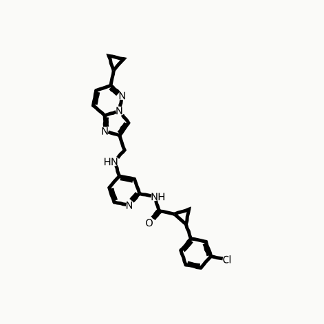 O=C(Nc1cc(NCc2cn3nc(C4CC4)ccc3n2)ccn1)C1CC1c1cccc(Cl)c1